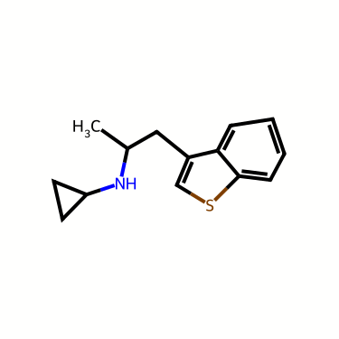 CC(Cc1csc2ccccc12)NC1CC1